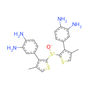 Cc1csc([S+]([O-])c2scc(C)c2-c2ccc(N)c(N)c2)c1-c1ccc(N)c(N)c1